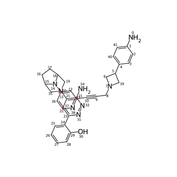 Nc1ccc(C2CN(CC#Cc3cc(N4C5CCC4CN(c4cc(-c6ccccc6O)nnc4N)C5)ccn3)C2)cc1